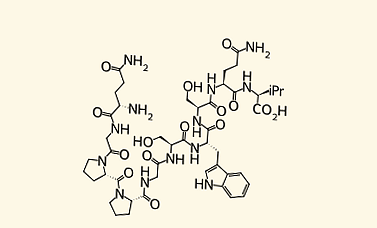 CC(C)[C@H](NC(=O)[C@H](CCC(N)=O)NC(=O)[C@H](CO)NC(=O)[C@H](Cc1c[nH]c2ccccc12)NC(=O)[C@H](CO)NC(=O)CNC(=O)[C@@H]1CCCN1C(=O)[C@@H]1CCCN1C(=O)CNC(=O)[C@@H](N)CCC(N)=O)C(=O)O